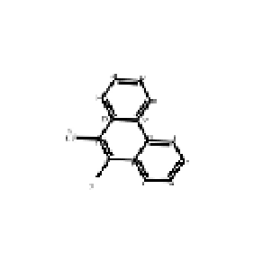 Clc1c(I)c2ccccc2c2ccccc12